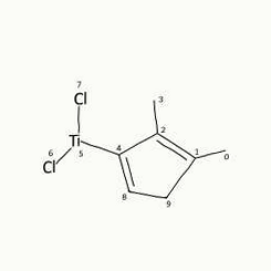 CC1=C(C)[C]([Ti]([Cl])[Cl])=CC1